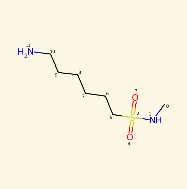 CNS(=O)(=O)CCCCCCN